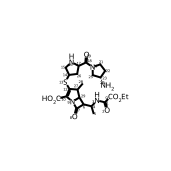 CCOC(=O)C(=O)NC(C)C1C(=O)N2C(C(=O)O)=C(SC3CNC(C(=O)N4CC[C@H](N)C4)C3)C(C)C12